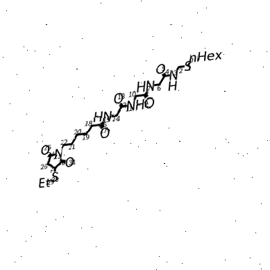 CCCCCCSCNC(=O)CNC(=O)CNC(=O)CNC(=O)CCCCCN1C(=O)CC(SCC)C1=O